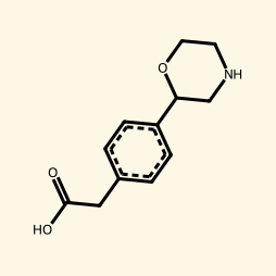 O=C(O)Cc1ccc(C2CNCCO2)cc1